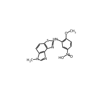 COc1ccc([N+](=O)O)cc1Nc1nc2c(ccc3c2ncn3C)s1